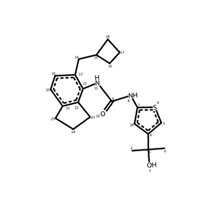 CC(C)(O)c1csc(NC(=O)Nc2c(CC3CCC3)ccc3c2CCC3)c1